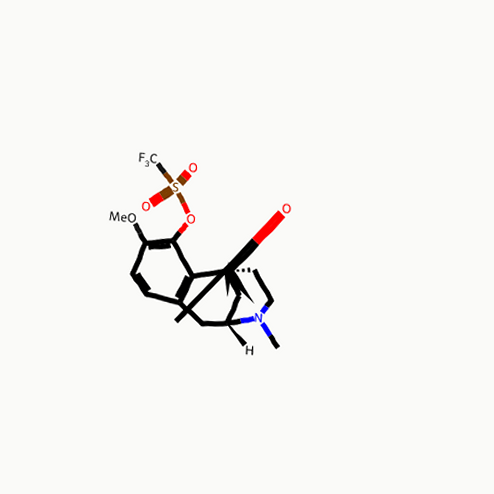 COc1ccc2c(c1OS(=O)(=O)C(F)(F)F)[C@]13CCN(C)[C@H](C2)C1CCC(=O)C3